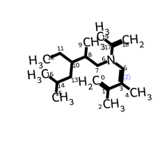 C=C(C)/C(C)=C\N(CC(C)C(CC)CC(C)C)C(=C)C